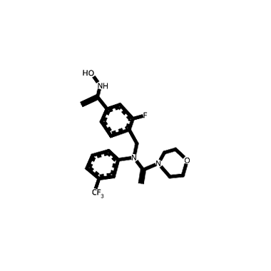 C=C(NO)c1ccc(CN(C(=C)N2CCOCC2)c2cccc(C(F)(F)F)c2)c(F)c1